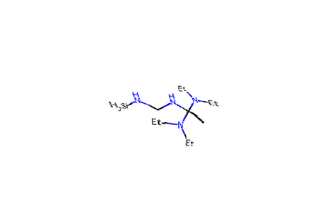 CCN(CC)C(C)(NCN[SiH3])N(CC)CC